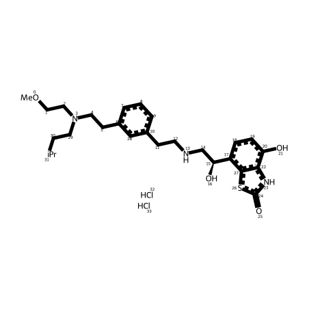 COCCN(CCc1cccc(CCNC[C@H](O)c2ccc(O)c3[nH]c(=O)sc23)c1)CCC(C)C.Cl.Cl